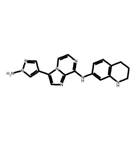 Nn1cc(-c2cnc3c(Nc4ccc5c(c4)NCCC5)nccn23)cn1